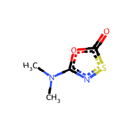 CN(C)c1nsc(=O)o1